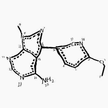 COc1ccc(-c2nn(C)c3ncnc(N)c23)cn1